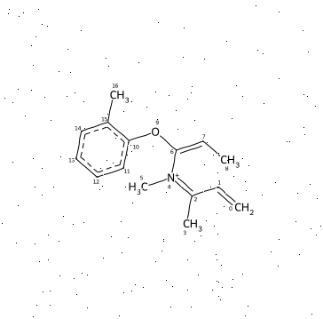 C=C/C(C)=[N+](C)\C(=C/C)Oc1ccccc1C